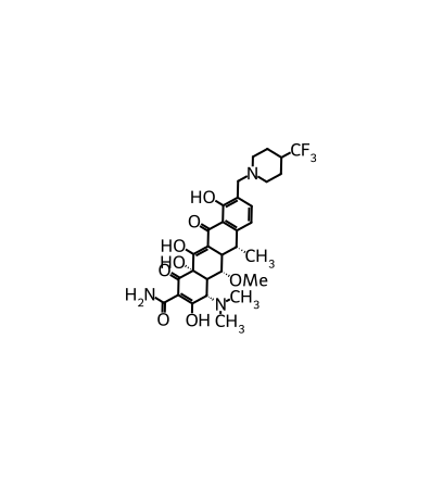 CO[C@H]1C2C(=C(O)[C@]3(O)C(=O)C(C(N)=O)=C(O)[C@@H](N(C)C)C13)C(=O)c1c(ccc(CN3CCC(C(F)(F)F)CC3)c1O)[C@@H]2C